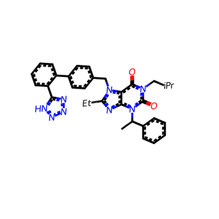 CCc1nc2c(c(=O)n(CC(C)C)c(=O)n2C(C)c2ccccc2)n1Cc1ccc(-c2ccccc2-c2nnn[nH]2)cc1